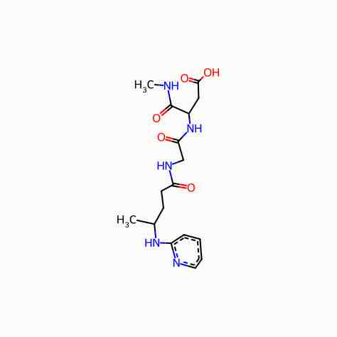 CNC(=O)C(CC(=O)O)NC(=O)CNC(=O)CCC(C)Nc1ccccn1